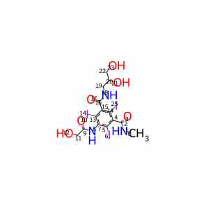 CNC(=O)c1c(I)c(NC(=O)CO)c(I)c(C(=O)NCC(O)CO)c1I